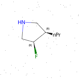 CCC[C@@H]1CNC[C@@H]1F